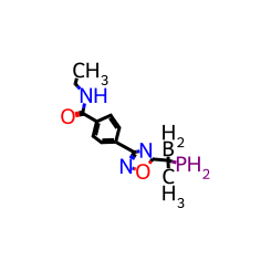 BC(C)(P)c1nc(-c2ccc(C(=O)NCC)cc2)no1